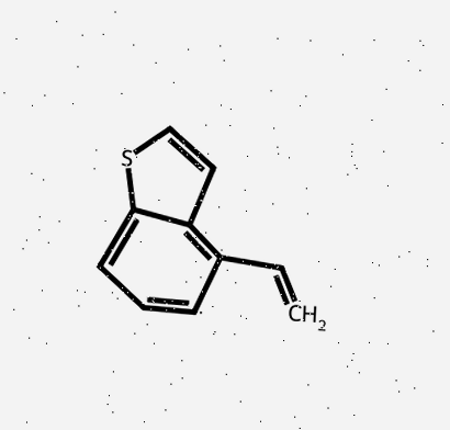 C=Cc1[c]ccc2sccc12